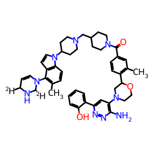 [2H]C1C=CN(c2c(C)ccc3c2ccn3C2CCN(CC3CCN(C(=O)c4ccc(C5CN(c6cc(-c7ccccc7O)nnc6N)CCO5)c(C)c4)CC3)CC2)[C@H]([2H])N1